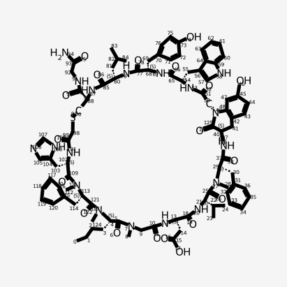 CCCC[C@H]1C(=O)N(C)CC(=O)N[C@@H](CC(=O)O)C(=O)N[C@@H](C(C)C)C(=O)N(C)[C@@H](Cc2ccccc2)C(=O)N[C@H]2Cc3ccc(O)cc3N(CC(=O)N[C@@H](Cc3c[nH]c4ccccc34)C(=O)N[C@@H](Cc3ccc(O)cc3)C(=O)N[C@@H](CC(C)C)C(=O)N[C@H](C(=O)NCC(N)=O)CSCC(=O)N[C@@H](Cc3cnc[nH]3)C(=O)N(C)[C@@H](Cc3ccccc3)C(=O)N1C)C2=O